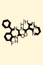 [2H]c1nn2cccnc2c1C(=O)N[C@H]1N=C(c2ccccc2)c2cccc(F)c2NC1=O